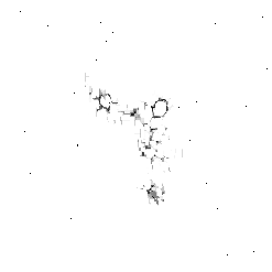 Cn1nnnc1SCC1=C(C(=O)O)N2C(=O)C(NC(=O)C(NC(=O)COc3c[nH]c(CO)c(Cl)c3=O)c3ccccc3)[C@H]2SC1